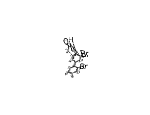 O=C1Cc2cc(-c3ccccc3Br)cc(Br)c2N1